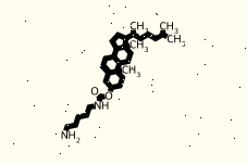 CC(C)CCCC(C)C1CCC2C3CC=C4CC(OC(=O)NCCCCCN)CCC4(C)C3CCC12C